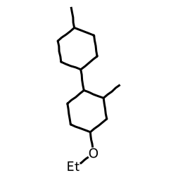 CCOC1CCC(C2CCC(C)CC2)C(C)C1